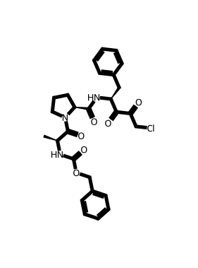 C[C@H](NC(=O)OCc1ccccc1)C(=O)N1CCC[C@H]1C(=O)N[C@@H](Cc1ccccc1)C(=O)C(=O)CCl